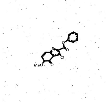 COC1C=Cc2sc(C(=O)Oc3ccccc3)c(Cl)c2C1=O